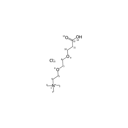 C[N+](C)(C)CCOCCOCCC(=O)O.[Cl-]